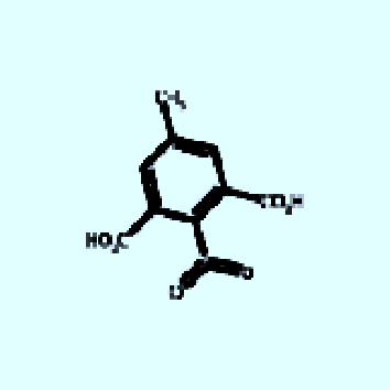 Cc1cc(C(=O)O)c(I(=O)=O)c(C(=O)O)c1